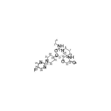 CCNC(=O)N1CCC[C@@]2(COCC(=O)N2)[C@@H]1COC1CCN(c2ncc(F)cn2)CC1